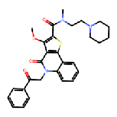 COc1c(C(=O)N(C)CCN2CCCCC2)sc2c1c(=O)n(CC(=O)c1ccccc1)c1ccccc21